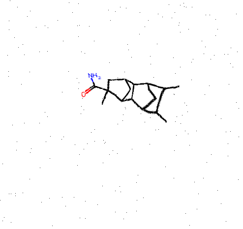 CC1C(C)C2CC1C1C3CC(C21)C(C)(C(N)=O)C3